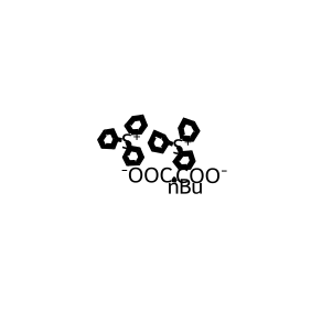 CCCCC(C(=O)[O-])C(=O)[O-].c1ccc([S+](c2ccccc2)c2ccccc2)cc1.c1ccc([S+](c2ccccc2)c2ccccc2)cc1